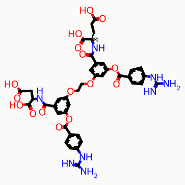 N=C(N)Nc1ccc(C(=O)Oc2cc(OCCOc3cc(OC(=O)c4ccc(NC(=N)N)cc4)cc(C(=O)N[C@H](CCC(=O)O)C(=O)O)c3)cc(C(=O)NC(CC(=O)O)C(=O)O)c2)cc1